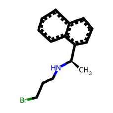 C[C@@H](NCCCBr)c1cccc2ccccc12